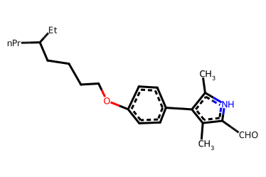 CCCC(CC)CCCCOc1ccc(-c2c(C)[nH]c(C=O)c2C)cc1